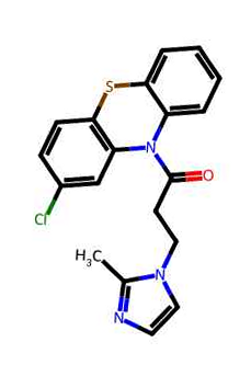 Cc1nccn1CCC(=O)N1c2ccccc2Sc2ccc(Cl)cc21